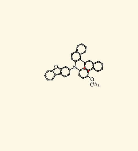 COc1ccc(N(c2ccc3c(c2)oc2ccccc23)c2ccc3ccccc3c2-c2ccc3ccccc3c2)cc1